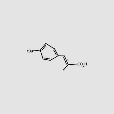 C/C(=C\c1ccc(C(C)(C)C)cc1)C(=O)O